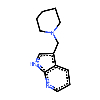 c1cnc2[nH]cc(CN3CCCCC3)c2c1